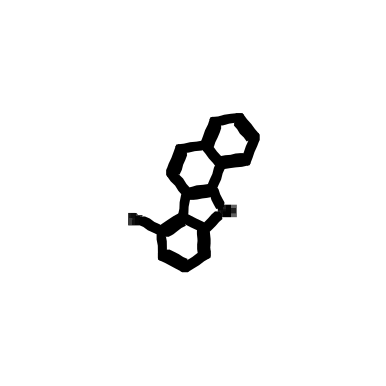 Brc1cccc2[nH]c3c4ccccc4ccc3c12